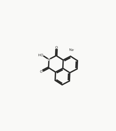 O=C1c2cccc3cccc(c23)C(=O)N1O.[Na]